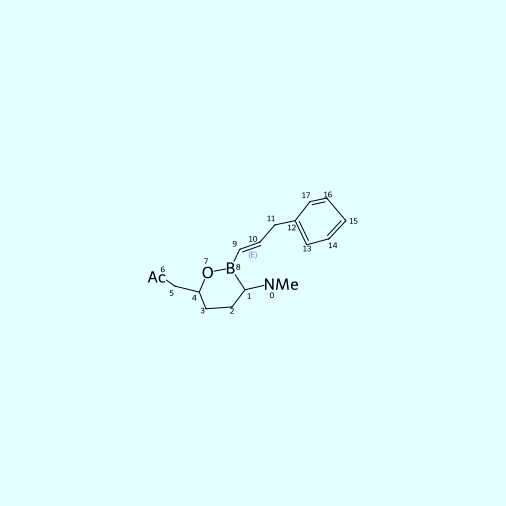 CNC1CCC(CC(C)=O)OB1/C=C/Cc1ccccc1